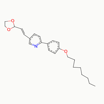 CCCCCCCCOc1ccc(-c2ccc(/C=C/C3OCCO3)cn2)cc1